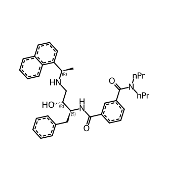 CCCN(CCC)C(=O)c1cccc(C(=O)N[C@@H](Cc2ccccc2)[C@H](O)CN[C@H](C)c2cccc3ccccc23)c1